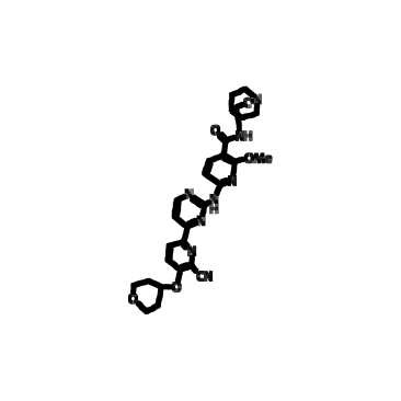 COc1nc(Nc2nccc(-c3ccc(OC4CCOCC4)c(C#N)n3)n2)ccc1C(=O)NC1CN2CCC1CC2